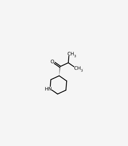 CC(C)C(=O)[C@@H]1CCCNC1